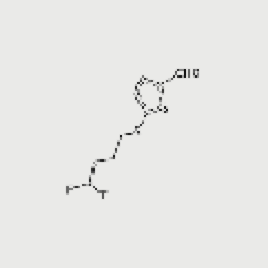 O=Cc1ccc(SCCC=C(F)F)s1